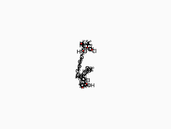 Cc1sc2c(c1C)C(c1ccc(Cl)cc1)=N[C@@H](CC(=O)NCCOCCOCCOCCOCCN(C)c1nc(N3CCN(C(=O)OC(C)(C)C)CC3)c3cc(Cl)c(-c4cc(O)cc5ccccc45)c(F)c3n1)c1nnc(C)n1-2